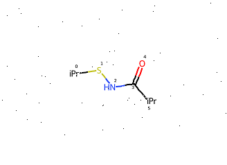 CC(C)SNC(=O)C(C)C